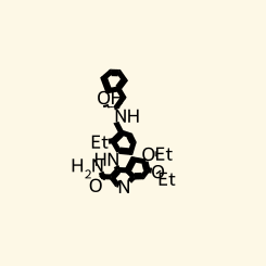 CCOc1cc2ncc(C(N)=O)c(Nc3cccc(CN[C@H](CO)Cc4ccccc4)c3CC)c2cc1OCC